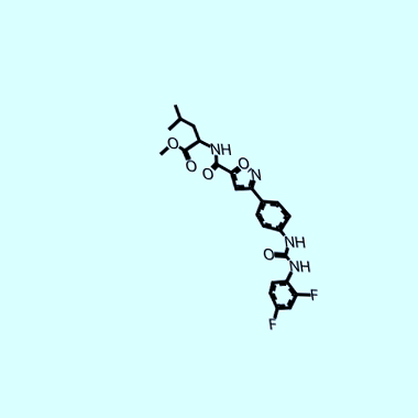 COC(=O)C(CC(C)C)NC(=O)c1cc(-c2ccc(NC(=O)Nc3ccc(F)cc3F)cc2)no1